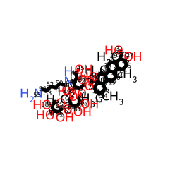 CC1OC(OC2C(OC(=O)[C@]34CCC(C)(C)CC3C3=CCC5[C@@]6(C)CC[C@H](O)[C@@](C)(CO)C6CC[C@@]5(C)[C@]3(C)C[C@H]4O)OC(CO)C(NC(=O)CCCCCN)C2O)C(O)C(O)C1OC1OCC(O)C(O)C1O